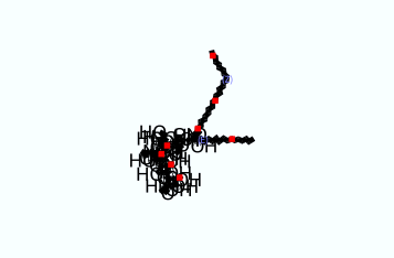 CCCCCCCC/C=C\CCCCCCCCCCCCCCCC(=O)N[C@@H](CO[C@@H]1OC(CO)[C@@H](O[C@@H]2OC(CO)[C@H](O)[C@H](O[C@@H]3OC(CO)[C@@H](O[C@@H]4OC(CO)[C@H](O)[C@H](O[C@H]5OC(CO)[C@@H](O)[C@H](O)C5NC(C)=O)C4O)[C@H](O)C3NC(C)=O)C2O)[C@H](O)C1O)[C@H](O)/C=C/CCCCCCCCCCCCC